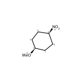 CO[C@H]1CC[C@@H]([N+](=O)[O-])CC1